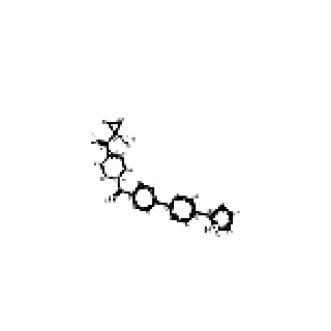 O=C(c1ccc(-c2ccc(-c3ccc[nH]3)cc2)cc1)N1CCN(C(=O)C2(O)CC2)CC1